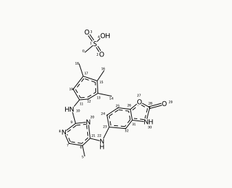 CS(=O)(=O)O.Cc1cnc(Nc2cc(C)c(C)c(C)c2)nc1Nc1ccc2oc(=O)[nH]c2c1